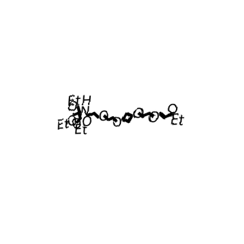 CCOCC(COCC)(COCC)NC(=O)CCOCCOC1CC(OCCOCCC(=O)CC)C1